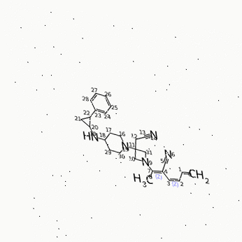 C=C/C=C\C(C#N)=C(/C)N1CC(CC#N)(N2CCC(NC3CC3c3ccccc3)CC2)C1